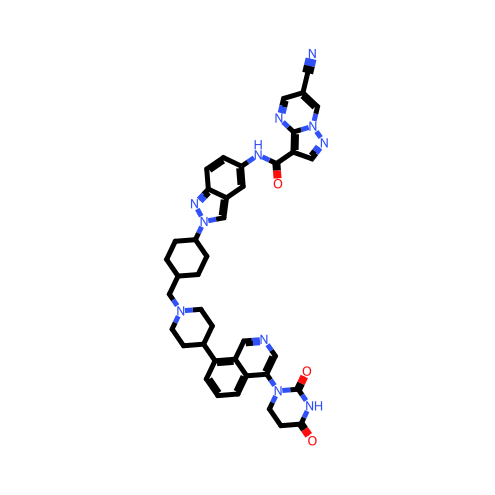 N#Cc1cnc2c(C(=O)Nc3ccc4nn(C5CCC(CN6CCC(c7cccc8c(N9CCC(=O)NC9=O)cncc78)CC6)CC5)cc4c3)cnn2c1